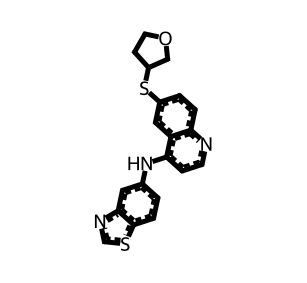 c1cc(Nc2ccc3scnc3c2)c2cc(SC3CCOC3)ccc2n1